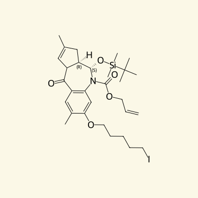 C=CCOC(=O)N1c2cc(OCCCCCI)c(C)cc2C(=O)C2C=C(C)C[C@H]2[C@@H]1O[Si](C)(C)C(C)(C)C